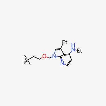 CCNc1ccnc2c1c(CC)cn2COCC[Si](C)(C)C